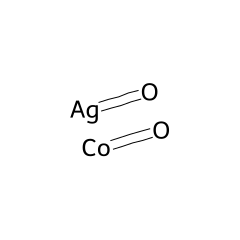 [O]=[Ag].[O]=[Co]